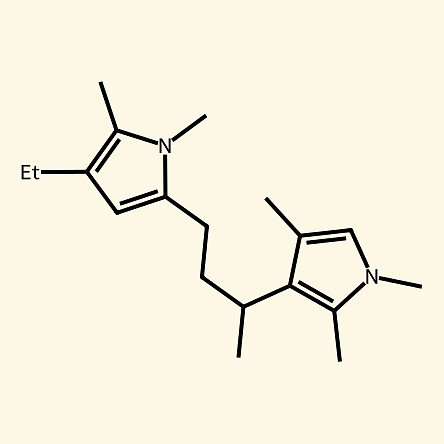 CCc1cc(CCC(C)c2c(C)cn(C)c2C)n(C)c1C